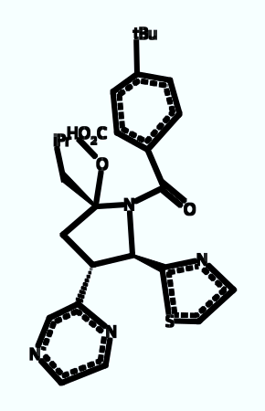 CC(C)C[C@]1(OC(=O)O)C[C@@H](c2cnccn2)[C@H](c2nccs2)N1C(=O)c1ccc(C(C)(C)C)cc1